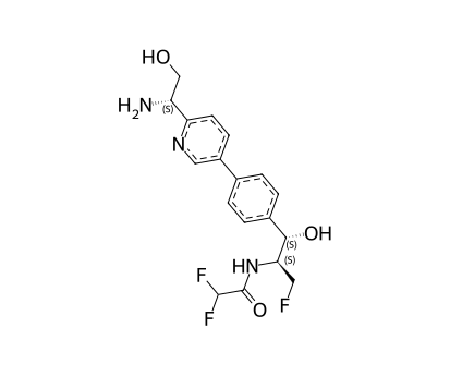 N[C@H](CO)c1ccc(-c2ccc([C@H](O)[C@@H](CF)NC(=O)C(F)F)cc2)cn1